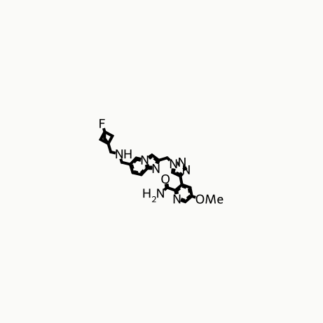 COc1cnc(C(N)=O)c(-c2cn(Cc3cn4cc(CNCC56CC(F)(C5)C6)ccc4n3)nn2)c1